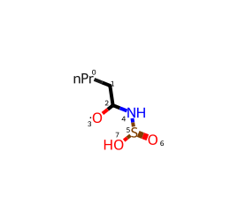 CCCCC([O])NS(=O)O